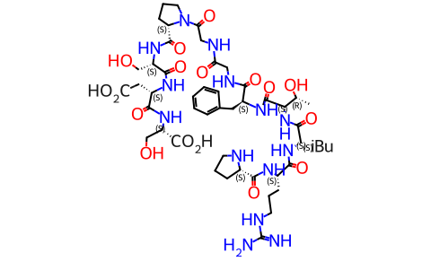 CC[C@H](C)[C@H](NC(=O)[C@H](CCCNC(=N)N)NC(=O)[C@@H]1CCCN1)C(=O)N[C@H](C(=O)N[C@@H](Cc1ccccc1)C(=O)NCC(=O)NCC(=O)N1CCC[C@H]1C(=O)N[C@@H](CO)C(=O)N[C@@H](CC(=O)O)C(=O)N[C@@H](CO)C(=O)O)[C@@H](C)O